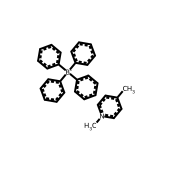 Cc1cc[n+](C)cc1.c1ccc([B-](c2ccccc2)(c2ccccc2)c2ccccc2)cc1